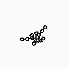 CC1(C)c2ccccc2N(c2cc(-c3ccc(-c4ccccc4)cc3)c3ccccc3n2)c2cc3c(cc21)c1ccccc1n3-c1cc(-c2ccc(-c3ccccc3)cc2)c2ccccc2n1